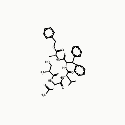 CC(C)[C@H](NC(=O)[C@H](CC(N)=O)NC(=O)[C@@H](N)CO)C(=O)N[C@H](C(=O)N[C@@H](C)C(=O)OCc1ccccc1)C(c1ccccc1)c1ccccc1